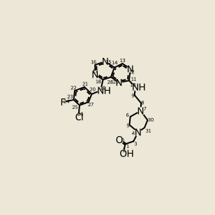 O=C(O)CN1CCN(CCNc2ncc3ncnc(Nc4ccc(F)c(Cl)c4)c3n2)CC1